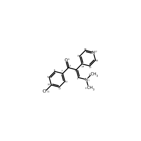 CN(C)C=C(C(=O)c1ccc(Cl)cc1)c1ccncc1